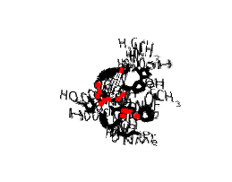 CN[C@H](CC(C)C)C(=O)N[C@H]1C(=O)N[C@@H](CC(N)=O)C(=O)N[C@H]2C(=O)N[C@H]3C(=O)N[C@H](C(=O)N[C@@H](C(=O)NN(C)C)c4cc(O)cc(O)c4-c4cc3ccc4O)[C@H](O)c3ccc(c(Cl)c3)Oc3cc2cc(c3O[C@@H]2O[C@H](CO)[C@@H](O)[C@H](O)[C@H]2O[C@H]2C[C@](C)(NCc3cncc(C(=O)Nc4cccc(OC(C)(F)F)c4)c3)[C@H](O)[C@H](C)O2)Oc2ccc(cc2Cl)[C@H]1O